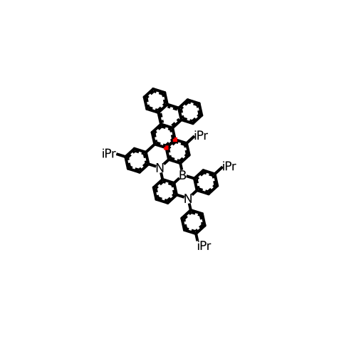 CC(C)c1ccc(N2c3ccc(C(C)C)cc3B3c4cc(C(C)C)ccc4N(c4ccc(C(C)C)cc4-c4ccc5c6ccccc6c6ccccc6c5c4)c4cccc2c43)cc1